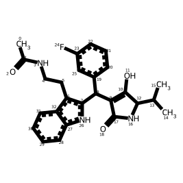 CC(=O)NCCc1c(C(C2=C(O)C(C(C)C)NC2=O)c2cccc(F)c2)[nH]c2ccccc12